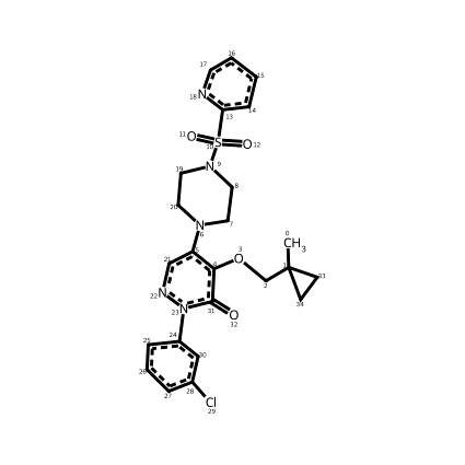 CC1(COc2c(N3CCN(S(=O)(=O)c4ccccn4)CC3)cnn(-c3cccc(Cl)c3)c2=O)CC1